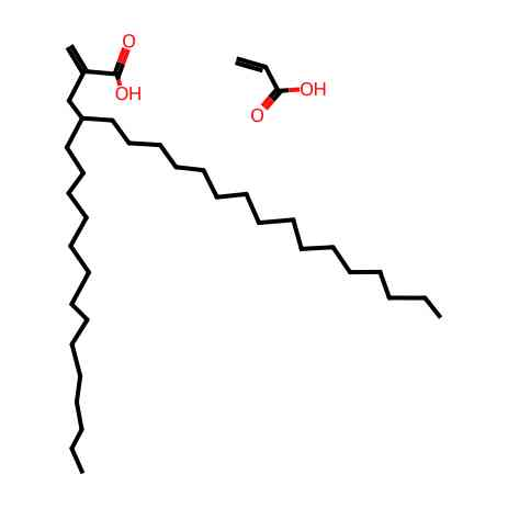 C=C(CC(CCCCCCCCCCCCCC)CCCCCCCCCCCCCCCC)C(=O)O.C=CC(=O)O